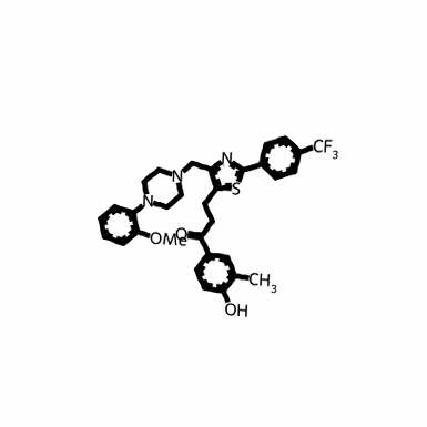 COc1ccccc1N1CCN(Cc2nc(-c3ccc(C(F)(F)F)cc3)sc2CCC(=O)c2ccc(O)c(C)c2)CC1